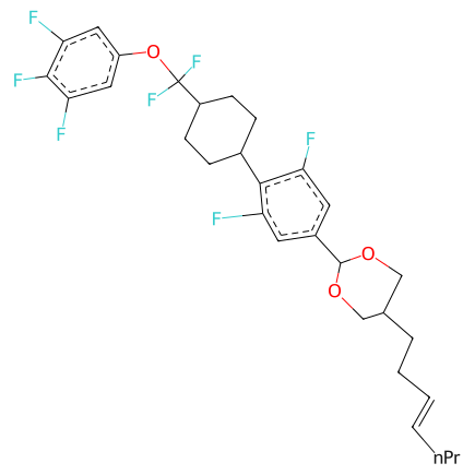 CCC/C=C/CCC1COC(c2cc(F)c(C3CCC(C(F)(F)Oc4cc(F)c(F)c(F)c4)CC3)c(F)c2)OC1